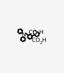 O=C(O)c1ccc(CN(c2ccccc2)c2ccccc2)c(C(=O)O)c1C1CCCCO1